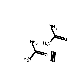 C#C.NC(N)=O.NC(N)=O